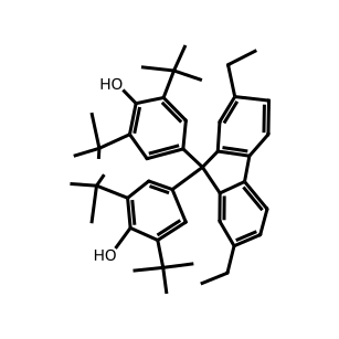 CCc1ccc2c(c1)C(c1cc(C(C)(C)C)c(O)c(C(C)(C)C)c1)(c1cc(C(C)(C)C)c(O)c(C(C)(C)C)c1)c1cc(CC)ccc1-2